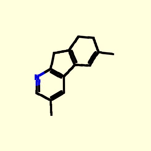 CC1=CC2=C(CC1)Cc1ncc(C)cc12